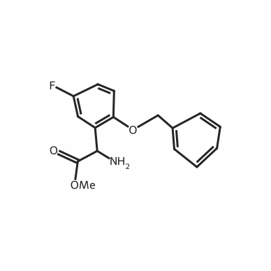 COC(=O)C(N)c1cc(F)ccc1OCc1ccccc1